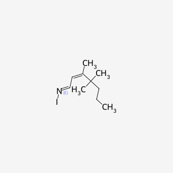 CCCC(C)(C)C(C)=C/C=N/I